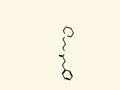 O=C(CCc1ccccc1)NCCCN1CCCCC1